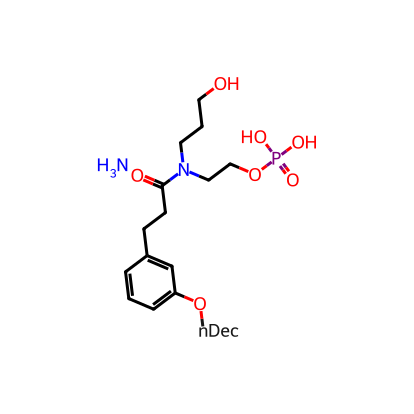 CCCCCCCCCCOc1cccc(CCC(=O)N(CCCO)CCOP(=O)(O)O)c1.N